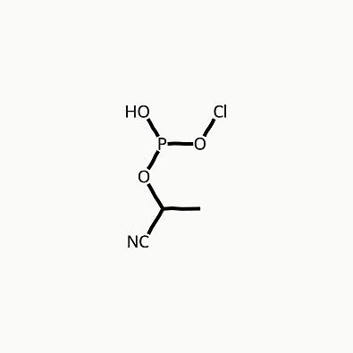 CC(C#N)OP(O)OCl